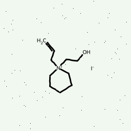 C=CC[N+]1(CCO)CCCCC1.[I-]